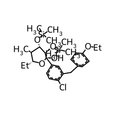 CCOc1ccc(Cc2cc([C@]3(O)O[C@H](CC)[C@@H](C)[C@H](O[Si](C)(C)C)[C@H]3O[Si](C)(C)C)ccc2Cl)cc1